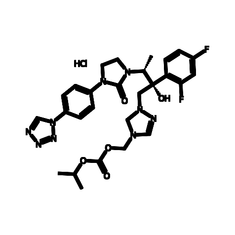 CC(C)OC(=O)OCN1C=NN(C[C@](O)(c2ccc(F)cc2F)[C@@H](C)N2CCN(c3ccc(-n4cnnn4)cc3)C2=O)C1.Cl